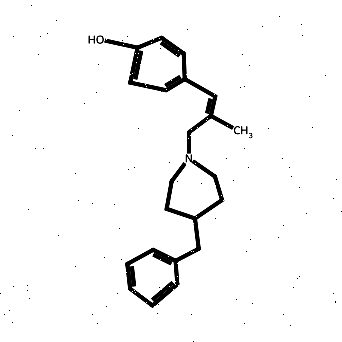 CC(=Cc1ccc(O)cc1)CN1CCC(Cc2ccccc2)CC1